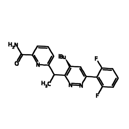 CC[C@H](C)c1cc(-c2c(F)cccc2F)nnc1C(C)c1cccc(C(N)=O)n1